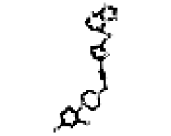 Fc1ccc(N2CCN(CC#Cc3ccc(Nc4ccnc5ncnn45)o3)CC2)c(F)c1